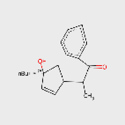 CCCC[C@@]1(O)C=CC(C(C)C(=O)c2ccccc2)C1